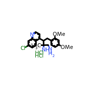 COc1ccc(CC(c2ccnc3cc(Cl)ccc23)C(C)(N)CN)c(OC)c1.Cl.Cl